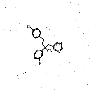 N#CC(CCc1ccc(Cl)cc1)(Cc1cncnc1)c1cccc(F)c1